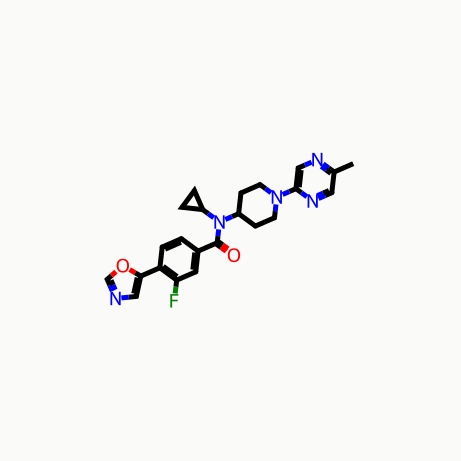 Cc1cnc(N2CCC(N(C(=O)c3ccc(-c4cnco4)c(F)c3)C3CC3)CC2)cn1